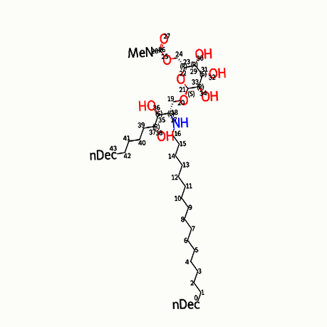 CCCCCCCCCCCCCCCCCCCCCCCCCCN[C@@H](CO[C@H]1O[C@H](COC(=O)NC)[C@H](O)[C@H](O)[C@H]1O)[C@H](O)[C@H](O)CCCCCCCCCCCCCC